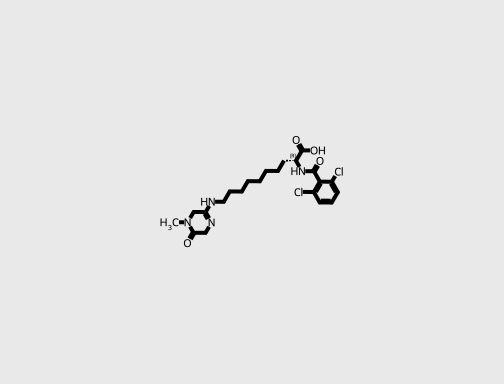 CN1CC(NCCCCCCCC[C@@H](NC(=O)c2c(Cl)cccc2Cl)C(=O)O)=NCC1=O